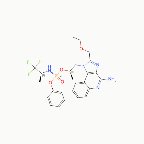 CCOCc1nc2c(N)nc3ccccc3c2n1C[C@@H](C)O[P@@](=O)(N[C@@H](C)C(F)(F)F)Oc1ccccc1